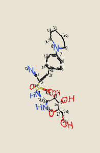 N#C/C(=C\c1ccc(N2CCCCC2)cc1)S(=O)(=O)N[C@H]1NO[C@H](CO)[C@@H](O)[C@@H]1O